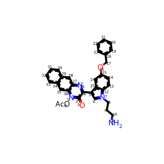 CC(=O)On1c(=O)c(-c2cn(CCCN)c3ccc(OCc4ccccc4)cc23)nc2cc3ccccc3cc21